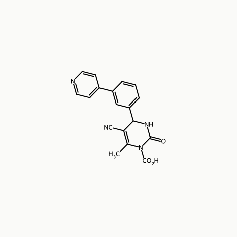 CC1=C(C#N)C(c2cccc(-c3ccncc3)c2)NC(=O)N1C(=O)O